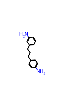 Nc1ccc(CCCc2cccc(N)c2)cc1